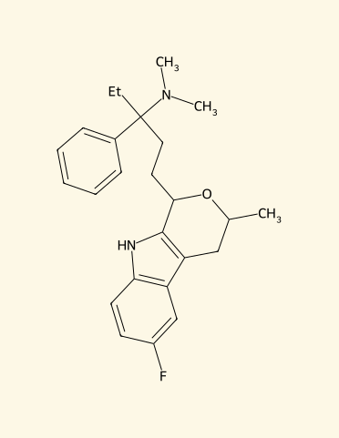 CCC(CCC1OC(C)Cc2c1[nH]c1ccc(F)cc21)(c1ccccc1)N(C)C